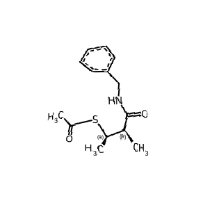 CC(=O)S[C@H](C)[C@H](C)C(=O)NCc1ccccc1